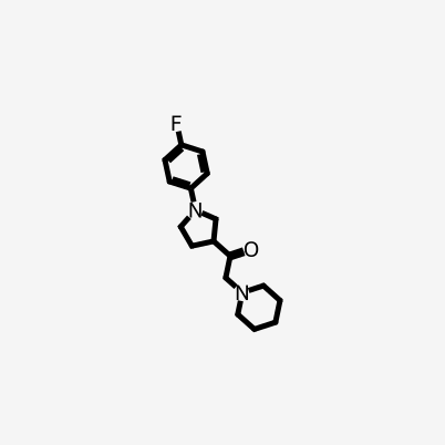 O=C(CN1CCCCC1)C1CCN(c2ccc(F)cc2)C1